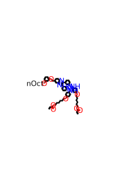 C=CC(=O)OCCCCCCOc1ccc(NNc2cccc(-c3nc4ccc(COc5cccc(OCCCCCCCC)c5)cc4nc3-c3cccc(NNc4ccc(OCCCCCCOC(=O)C=C)cc4)c3)c2)cc1